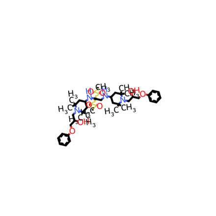 CC1(C)CC(NCC(NC2CC(C)(C)N(CC(O)COc3ccccc3)C(C)(C)C2)(S(C)(=O)=O)S(C)(=O)=O)CC(C)(C)N1CC(O)COc1ccccc1